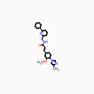 COc1cc(C=CC(=O)NCc2cccc(-c3ccccc3)n2)ccc1-n1cnc(C)c1